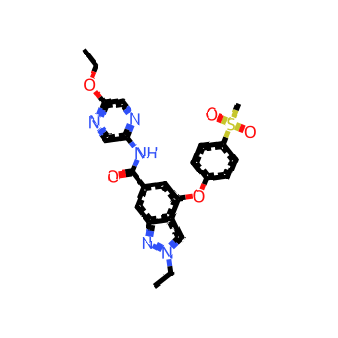 CCOc1cnc(NC(=O)c2cc(Oc3ccc(S(C)(=O)=O)cc3)c3cn(CC)nc3c2)cn1